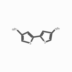 CCCc1csc(-c2cc(CCC)cs2)c1